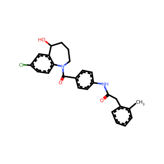 Cc1ccccc1CC(=O)Nc1ccc(C(=O)N2CCCC(O)c3cc(Cl)ccc32)cc1